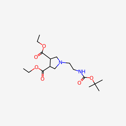 CCOC(=O)C1CN(CCNC(=O)OC(C)(C)C)CC1C(=O)OCC